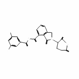 O=C1CCC(N2Cc3cccc(C(=O)NC(=O)c4cc(F)cc(F)c4)c3C2=O)C(=O)N1